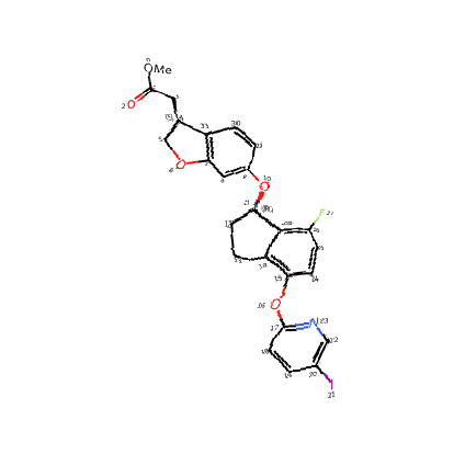 COC(=O)C[C@@H]1COc2cc(O[C@@H]3CCc4c(Oc5ccc(I)cn5)ccc(F)c43)ccc21